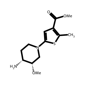 COC(=O)c1cc(N2CC[C@@H](N)[C@@H](OC)C2)sc1C